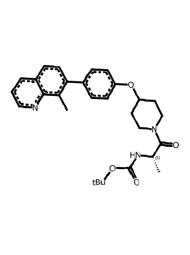 Cc1c(-c2ccc(OC3CCN(C(=O)[C@H](C)NC(=O)OC(C)(C)C)CC3)cc2)ccc2cccnc12